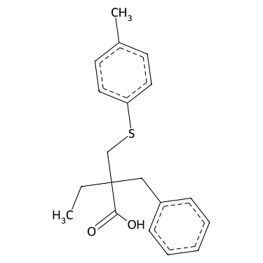 CCC(CSc1ccc(C)cc1)(Cc1ccccc1)C(=O)O